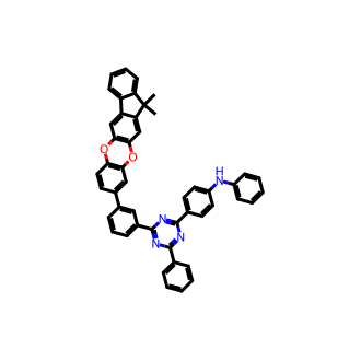 CC1(C)c2ccccc2-c2cc3c(cc21)Oc1cc(-c2cccc(-c4nc(-c5ccccc5)nc(-c5ccc(Nc6ccccc6)cc5)n4)c2)ccc1O3